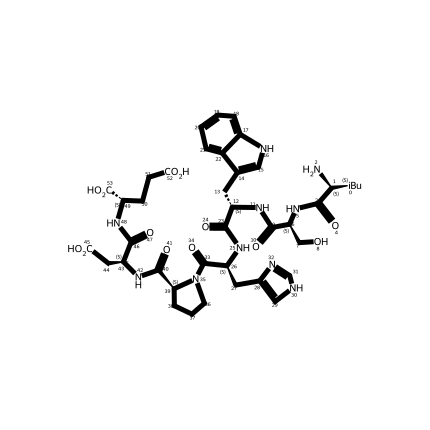 CC[C@H](C)[C@H](N)C(=O)N[C@@H](CO)C(=O)N[C@@H](Cc1c[nH]c2ccccc12)C(=O)N[C@@H](Cc1c[nH]cn1)C(=O)N1CCC[C@H]1C(=O)N[C@@H](CC(=O)O)C(=O)N[C@@H](CCC(=O)O)C(=O)O